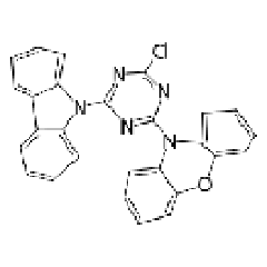 Clc1nc(N2c3ccccc3Oc3ccccc32)nc(-n2c3ccccc3c3ccccc32)n1